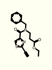 C#Cc1nc(C(=O)N(CCC(=O)OCC)Cc2ccccc2)cs1